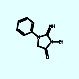 CCN1C(=N)N(c2ccccc2)CC1=O